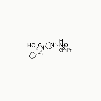 CC(C)S(=O)(=O)NCCN1CCC(N(C(=O)O)[C@@H]2C[C@H]2c2ccccc2)CC1